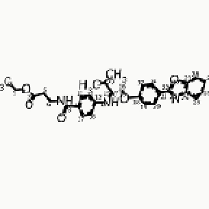 CCOC(=O)CCNC(=O)c1ccc(N[C@@H](COc2ccc(-c3nc4ccccc4o3)cc2)C(C)C)cc1